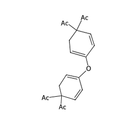 CC(=O)C1(C(C)=O)C=CC(OC2=CCC(C(C)=O)(C(C)=O)C=C2)=CC1